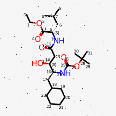 CCOC(=O)[C@H](CC(C)C)NC(=O)C[C@H](O)[C@H](CC1CCCCC1)NC(=O)OC(C)(C)C